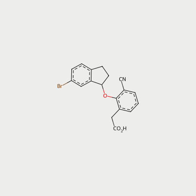 N#Cc1cccc(CC(=O)O)c1OC1CCc2ccc(Br)cc21